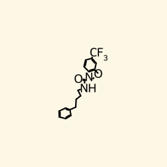 O=C(NCCCCc1ccccc1)N1COc2cc(C(F)(F)F)ccc21